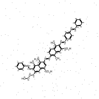 Cc1c(N=Nc2cc(S(=O)(=O)O)c3cc(SOOO)c(N=Nc4ccccc4)c(O)c3c2N)ccc2c(O)c(N=Nc3ccc(N=Nc4ccccc4)cc3)c(S(=O)(=O)O)cc12